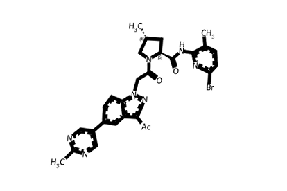 CC(=O)c1nn(CC(=O)N2C[C@H](C)C[C@H]2C(=O)Nc2nc(Br)ccc2C)c2ccc(-c3cnc(C)nc3)cc12